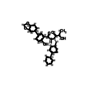 CC(O)C(=O)[C@H](Cc1ccc(-c2ccccc2)cc1)NC(=O)c1cc(-c2ccc3c(c2)OCO3)ccc1O